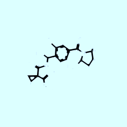 CC(NC(=O)C1(C(N)=O)CC1)c1ccc(C(=O)N2C(C)CCC2C)cc1F